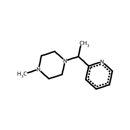 CC(c1ccccn1)N1CCN(C)CC1